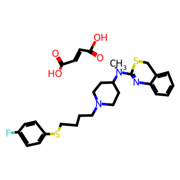 CN(C1=Nc2ccccc2CS1)C1CCN(CCCCSc2ccc(F)cc2)CC1.O=C(O)C=CC(=O)O